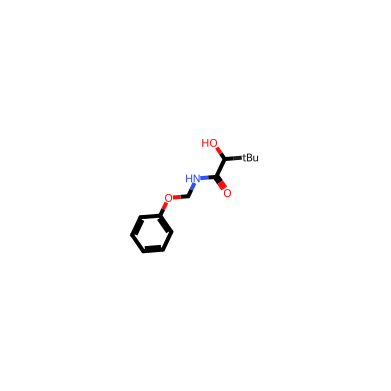 CC(C)(C)C(O)C(=O)NCOc1ccccc1